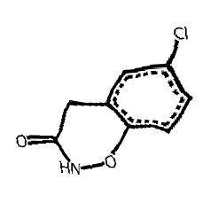 O=C1Cc2cc(Cl)ccc2ON1